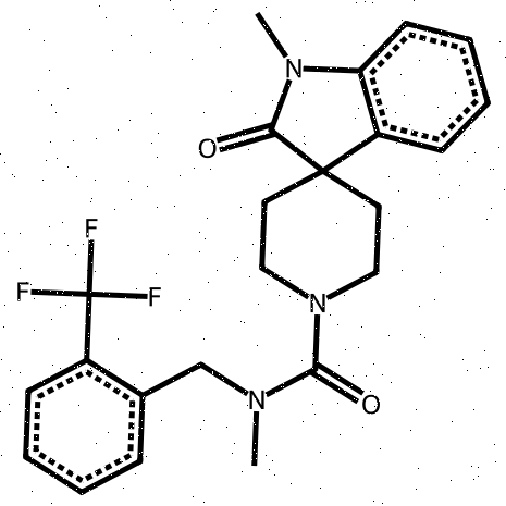 CN(Cc1ccccc1C(F)(F)F)C(=O)N1CCC2(CC1)C(=O)N(C)c1ccccc12